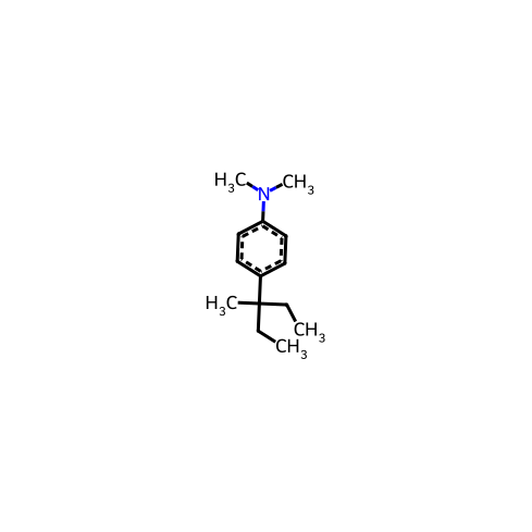 CCC(C)(CC)c1ccc(N(C)C)cc1